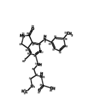 COCC(CNc1nc(Nc2cccc(C)c2)c2c(c1I)CNC2=O)NC(=O)O